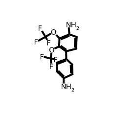 Nc1ccc(-c2ccc(N)c(OC(F)(F)F)c2OC(F)(F)F)cc1